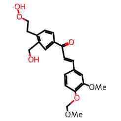 COCOc1ccc(/C=C/C(=O)c2ccc(CCOO)c(CO)c2)cc1OC